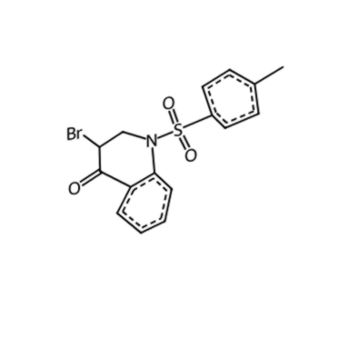 Cc1ccc(S(=O)(=O)N2CC(Br)C(=O)c3ccccc32)cc1